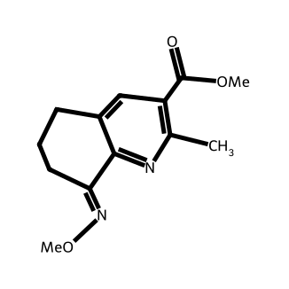 CON=C1CCCc2cc(C(=O)OC)c(C)nc21